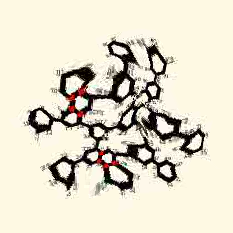 c1ccc(-c2cc(-c3ccccc3)cc(-c3cc(-c4cc(-c5ccccc5)cc(-c5ccccc5)c4)nc(-c4cc5c6c(c4)N(c4cc(-c7ccccc7)cc(-c7ccccc7)c4)c4cc(C7CCCCC7)ccc4B6c4ccc(C6CCCCC6)cc4N5c4cc(-c5ccccc5)cc(-c5ccccc5)c4)c3)c2)cc1